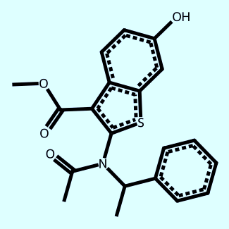 COC(=O)c1c(N(C(C)=O)C(C)c2ccccc2)sc2cc(O)ccc12